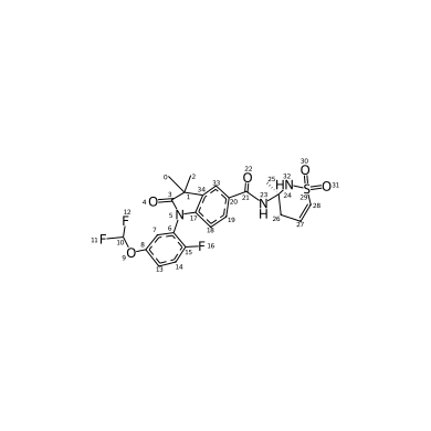 CC1(C)C(=O)N(c2cc(OC(F)F)ccc2F)c2ccc(C(=O)N[C@]3(C)CC=CS(=O)(=O)N3)cc21